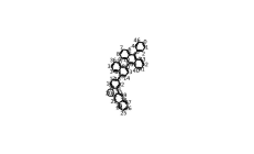 c1ccc(-c2c3ccccc3c(-c3ccc(-c4ccc5oc6cc7ccccc7cc6c5c4)c4ccccc34)c3ccccc23)cc1